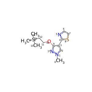 Cn1cc(-c2nccs2)c(OCC[Si](C)(C)C)n1